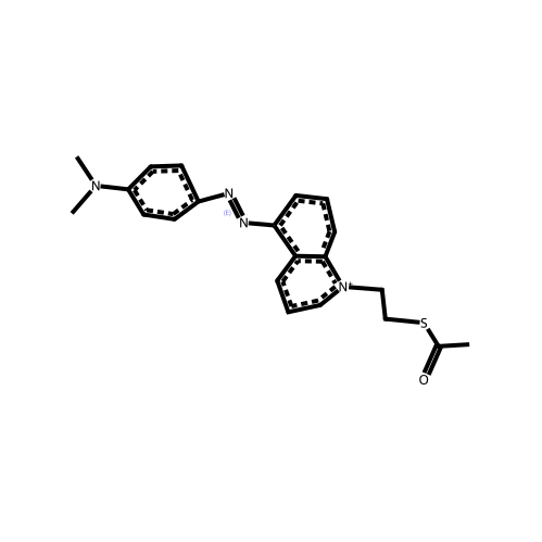 CC(=O)SCC[n+]1cccc2c(/N=N/c3ccc(N(C)C)cc3)cccc21